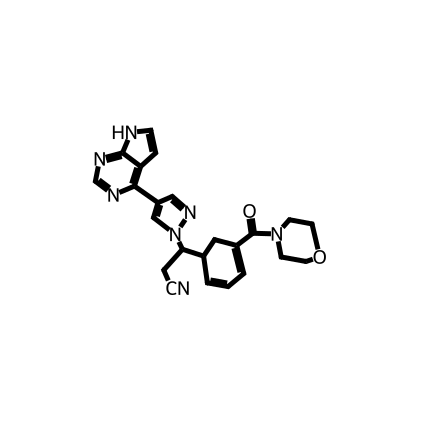 N#CCC(C1C=CC=C(C(=O)N2CCOCC2)C1)n1cc(-c2ncnc3[nH]ccc23)cn1